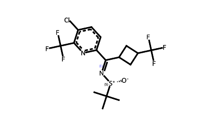 CC(C)(C)[S@@+]([O-])/N=C(/c1ccc(Cl)c(C(F)(F)F)n1)C1CC(C(F)(F)F)C1